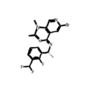 Cc1n/c(=N\[C@H](C)c2cccc(C(F)F)c2F)c2cc(Br)ncc2n1C